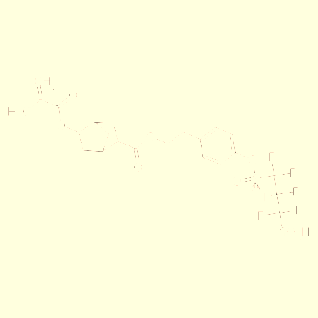 C=C(C)C(=O)OC1CC2CC1CC2C(=O)OCCc1ccc(OS(=O)(=O)C(F)(F)C(F)(F)C(F)(F)S(=O)(=O)O)cc1